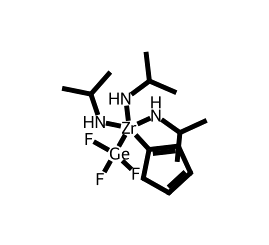 CC(C)[NH][Zr]([NH]C(C)C)([NH]C(C)C)([C]1=CC=CC1)[Ge]([F])([F])[F]